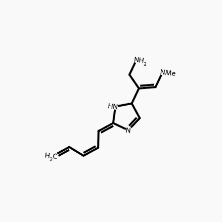 C=C/C=C\C=C1/N=CC(/C(=C/NC)CN)N1